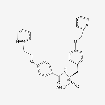 COC(=O)[C@H](Cc1ccc(OCc2ccccc2)cc1)NC(=O)c1ccc(OCCc2ccccn2)cc1